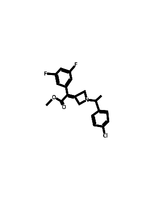 COC(=O)C(=C1CN(C(C)c2ccc(Cl)cc2)C1)c1cc(F)cc(F)c1